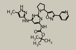 Cc1cc(Nc2cc(NC(=O)OC(C)(C)C)nc(N3CCCC3c3cc(-c4cccnc4)no3)n2)n[nH]1